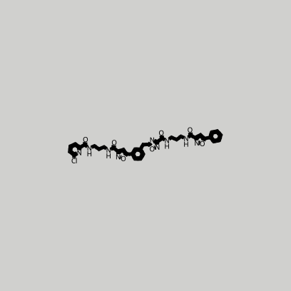 O=C(NCCCNC(=O)c1cccc(Cl)n1)c1cc(-c2cccc(Cc3nc(C(=O)NCCCNC(=O)c4cc(-c5ccccc5)on4)no3)c2)on1